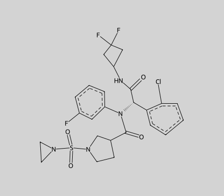 O=C(NC1CC(F)(F)C1)[C@H](c1ccccc1Cl)N(C(=O)C1CCN(S(=O)(=O)N2CC2)C1)c1cccc(F)c1